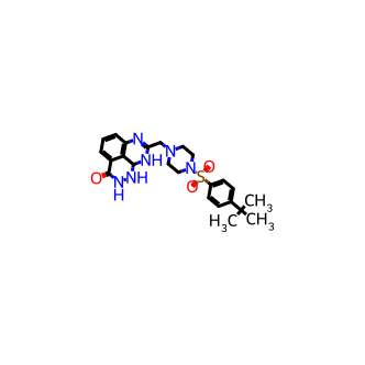 CC(C)(C)c1ccc(S(=O)(=O)N2CCN(CC3=Nc4cccc5c4C(NNC5=O)N3)CC2)cc1